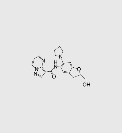 O=C(Nc1cc2c(cc1N1CCCC1)OC(CO)C2)c1cnn2cccnc12